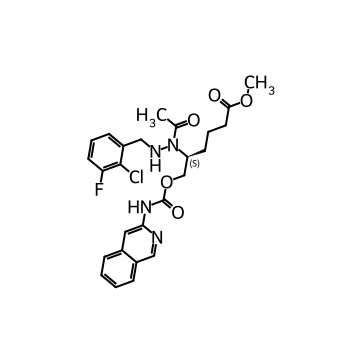 COC(=O)CCC[C@@H](COC(=O)Nc1cc2ccccc2cn1)N(NCc1cccc(F)c1Cl)C(C)=O